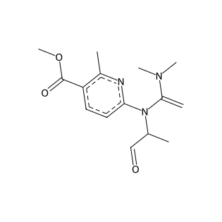 C=C(N(C)C)N(c1ccc(C(=O)OC)c(C)n1)C(C)C=O